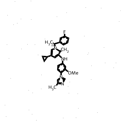 C=C1C(Nc2ccc(-n3cnc(C)c3)c(OC)c2)=CC(C2CC2)=CN1[C@@H](C)c1cccc(F)c1